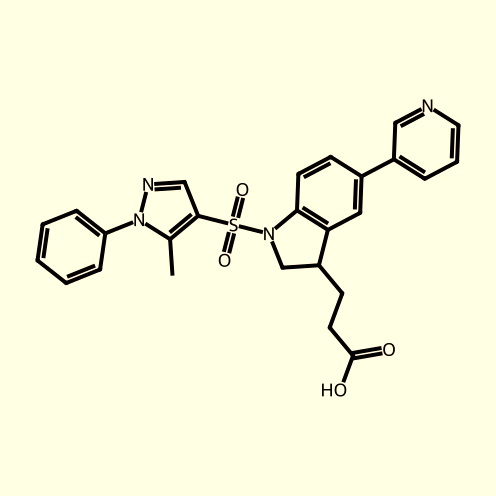 Cc1c(S(=O)(=O)N2CC(CCC(=O)O)c3cc(-c4cccnc4)ccc32)cnn1-c1ccccc1